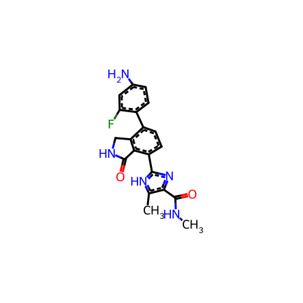 CNC(=O)c1nc(-c2ccc(-c3ccc(N)cc3F)c3c2C(=O)NC3)[nH]c1C